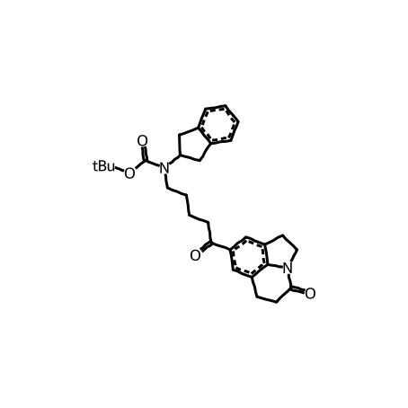 CC(C)(C)OC(=O)N(CCCCC(=O)c1cc2c3c(c1)CCN3C(=O)CC2)C1Cc2ccccc2C1